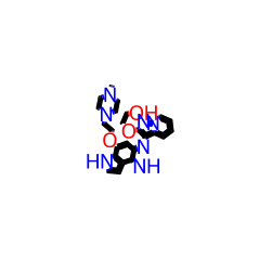 CN1CCN(CCOC2=CC(=Nc3c(OCCO)nn4ccccc34)C(=N)c3cc[nH]c32)CC1